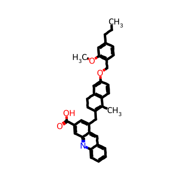 CCCc1ccc(COc2ccc3c(c2)CCC(Cc2cc(C(=O)O)cc4nc5ccccc5cc24)=C3C)c(OC)c1